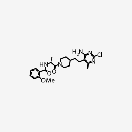 COc1ccccc1C(=O)N[C@@H](C)C(=O)N1CCC(CCc2c(C)nc(Cl)nc2N)CC1